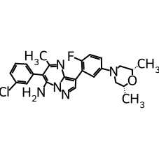 Cc1nc2c(-c3cc(N4C[C@@H](C)O[C@@H](C)C4)ccc3F)cnn2c(N)c1-c1cccc(Cl)c1